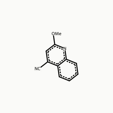 COc1cc(C#N)c2ccccc2n1